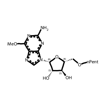 CCCCCOC[C@H]1O[C@@H](n2cnc3c(OC)nc(N)nc32)[C@@H](O)[C@@H]1O